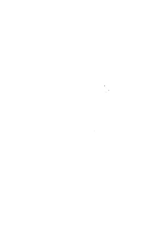 C1CCC2SCC2C1